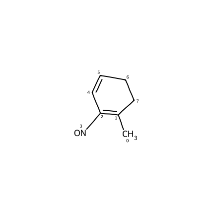 CC1=C(N=O)C=CCC1